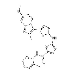 COc1ccn2c(-c3cnc(Nc4ccc(C(=O)Nc5ccccc5C)s4)s3)c(C)nc2c1